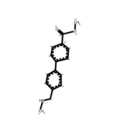 CNCc1ccc(-c2ccc(C(=O)OC)cc2)cc1